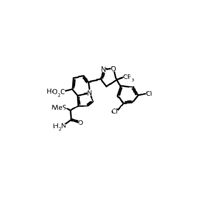 CSC(C(N)=O)c1ccn2c(C3=NOC(c4cc(Cl)cc(Cl)c4)(C(F)(F)F)C3)ccc(C(=O)O)c12